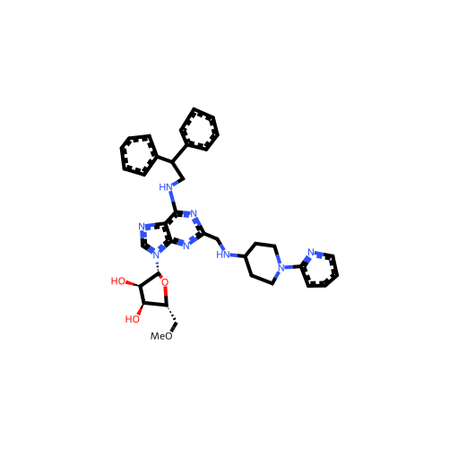 COC[C@H]1O[C@@H](n2cnc3c(NCC(c4ccccc4)c4ccccc4)nc(CNC4CCN(c5ccccn5)CC4)nc32)[C@H](O)[C@@H]1O